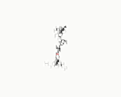 CC(C)(C)OC(=O)N1CCN(CCn2cnc(-c3cc4nccc(Oc5ccc(NC(=O)NC6CC6)cc5F)c4s3)c2)CC1